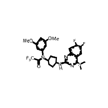 COc1cc(OC)cc(N(C(=O)C(F)(F)F)C2CCC(Nc3nc(N(C)C)c4cc(F)c(F)cc4n3)CC2)c1